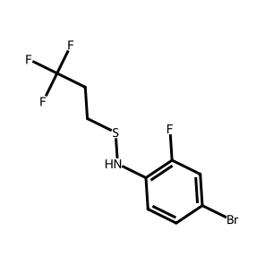 Fc1cc(Br)ccc1NSCCC(F)(F)F